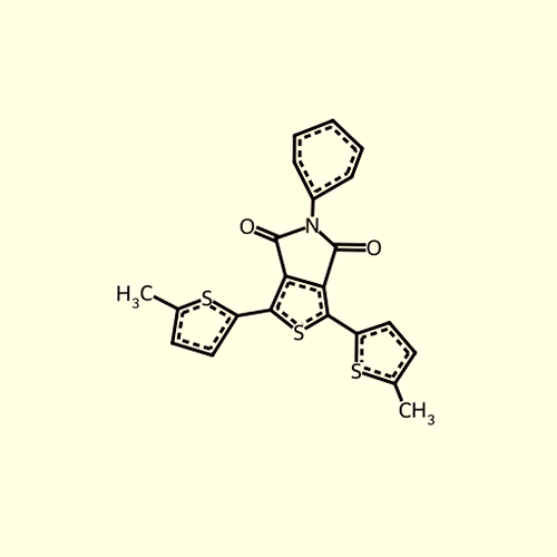 Cc1ccc(-c2sc(-c3ccc(C)s3)c3c2C(=O)N(c2ccccc2)C3=O)s1